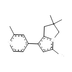 Cc1cc(-c2cc(C#N)n3c2CC(C)(C)C3)ccn1